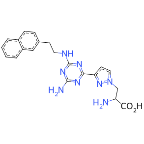 Nc1nc(NCCc2ccc3ccccc3c2)nc(-c2ccn(CC(N)C(=O)O)n2)n1